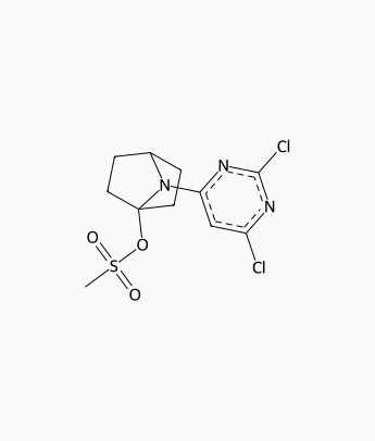 CS(=O)(=O)OC12CCC(CC1)N2c1cc(Cl)nc(Cl)n1